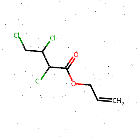 C=CCOC(=O)C(Cl)C(Cl)CCl